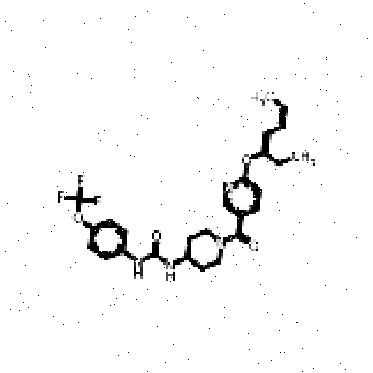 C/C=C\C=C(/CC)Oc1ccc(C(=O)N2CCC(NC(=O)Nc3ccc(OC(F)(F)F)cc3)CC2)cn1